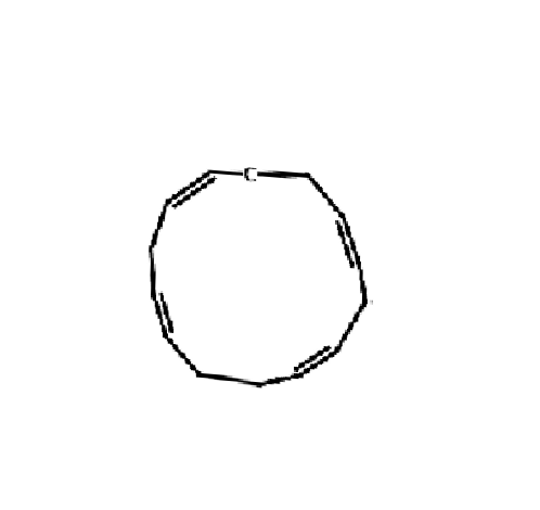 [CH]1C=CCCC=CCC=CCCC=C1